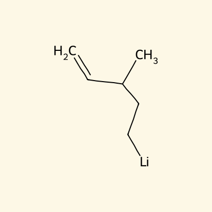 [Li][CH2]CC(C)C=C